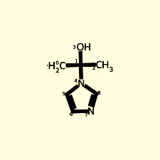 [CH2]C(C)(O)n1ccnc1